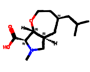 CC(C)C[C@@H]1CCO[C@@H]2[C@@H](C1)CN(C)[C@@H]2C(=O)O